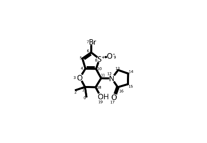 CC1(C)Oc2cc(Br)[s+]([O-])c2C(N2CCCC2=O)C1O